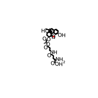 C[C@H](OC(=O)CCNC(=O)CC[C@H](N)C(=O)O)C(=O)OC1CC[C@]2(O)C3Cc4ccc(O)c5c4[C@@]2(CCN3C)[C@H]1O5